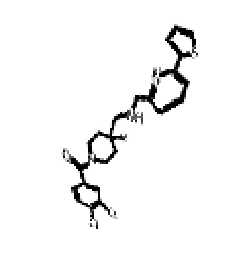 O=C(c1ccc(Cl)c(Cl)c1)N1CCC(F)(CNCc2cccc(-c3cccs3)n2)CC1